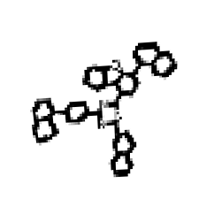 C1=C(c2cccc3ccccc23)C2Oc3ccccc3C2C(c2nc(-c3ccc(-c4cccc5ccccc45)cc3)nc(-c3ccc4ccccc4c3)n2)=C1